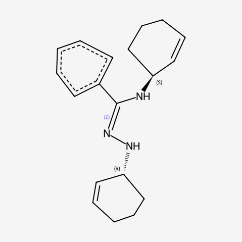 C1=C[C@@H](N/C(=N\N[C@H]2C=CCCC2)c2ccccc2)CCC1